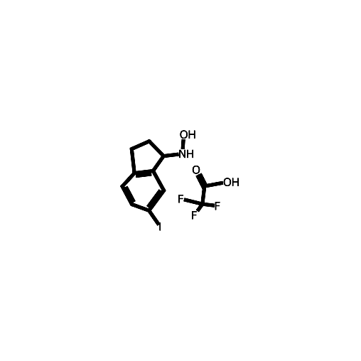 O=C(O)C(F)(F)F.ONC1CCc2ccc(I)cc21